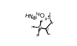 CC(CS(=O)(=O)O)[Si](C)(C)C.[NaH]